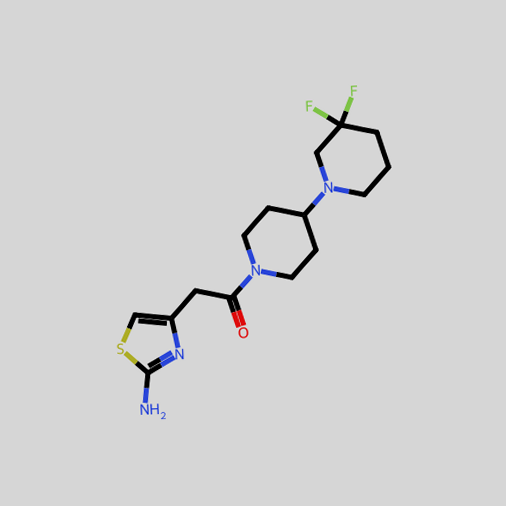 Nc1nc(CC(=O)N2CCC(N3CCCC(F)(F)C3)CC2)cs1